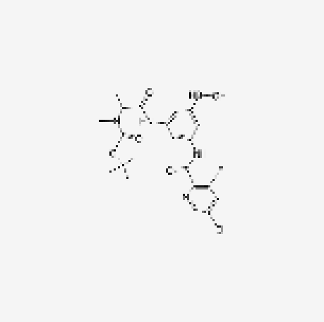 CC(C(=O)Nc1cc(BO)cc(NC(=O)c2ncc(Cl)cc2F)n1)N(C)C(=O)OC(C)(C)C